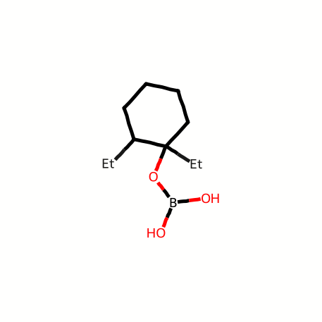 CCC1CCCCC1(CC)OB(O)O